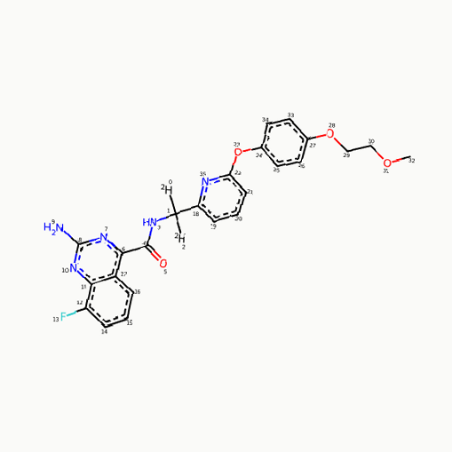 [2H]C([2H])(NC(=O)c1nc(N)nc2c(F)cccc12)c1cccc(Oc2ccc(OCCOC)cc2)n1